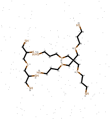 SCC(S)CSCC(S)CS.SCCCSCC(CSCCCS)(CSCCCS)CSCCCS